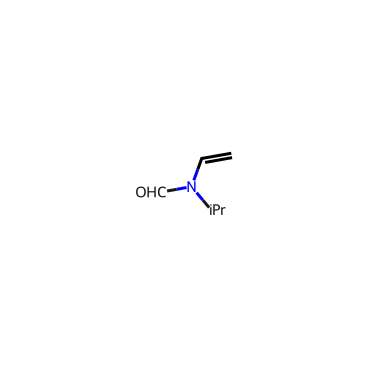 C=CN(C=O)C(C)C